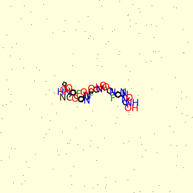 Cn1nc(N2CCC(O)NC2=O)c2cc(F)c(N3CCC(O)(CC(=O)N4CCC5(CC4)C[C@@H](n4cnc6ccc(Oc7c(F)ccc(NS(=O)(=O)C8CCC8)c7C#N)cc6c4=O)CO5)CC3)cc21